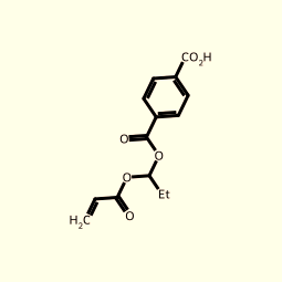 C=CC(=O)OC(CC)OC(=O)c1ccc(C(=O)O)cc1